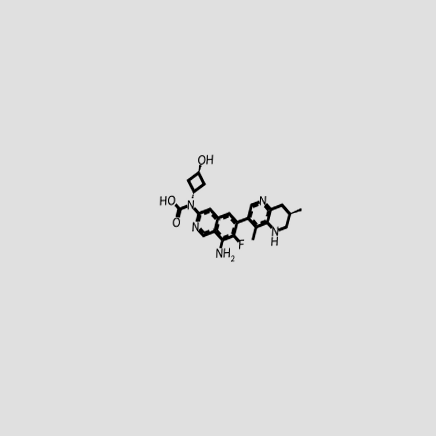 Cc1c(-c2cc3cc(N(C(=O)O)[C@H]4C[C@H](O)C4)ncc3c(N)c2F)cnc2c1NC[C@H](C)C2